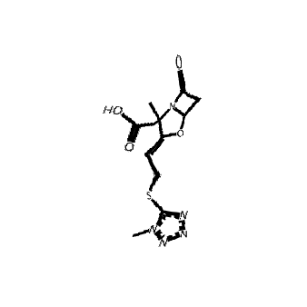 Cn1nnnc1SCC=C1OC2CC(=O)N2C1(C)C(=O)O